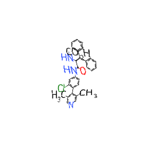 Cc1cncc(C)c1-c1ccc(NC(=O)C(NC(=O)O)C(c2ccccc2)c2ccccc2)cc1Cl